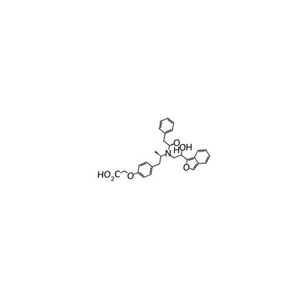 C[C@H](Cc1ccc(OCC(=O)O)cc1)N(CC(O)c1occ2ccccc12)[C@H](O)Cc1ccccc1